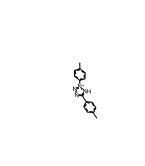 Cc1ccc(-c2nn[n+](-c3ccc(C)cc3)[nH]2)cc1